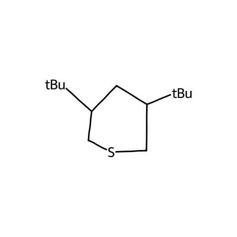 CC(C)(C)C1CSCC(C(C)(C)C)C1